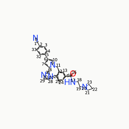 N#Cc1ccc(-c2cc3n(c2)Cc2cc(C(=O)NCCN4CCC4)ccc2-n2ccnc2-3)cc1